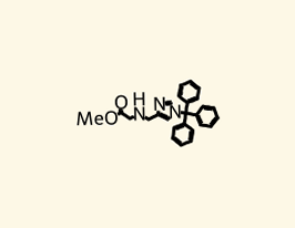 COC(=O)CNCc1cn(C(c2ccccc2)(c2ccccc2)c2ccccc2)cn1